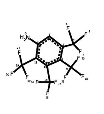 Nc1cc(C(F)(F)F)c(C(F)(F)F)c(C(F)(F)F)c1C(F)(F)F